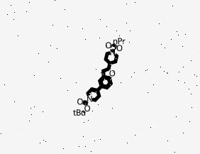 CCCS(=O)(=O)N1CCC(C2Cc3cc(C4=CCN(C(=O)OC(C)(C)C)CC4)ccc3O2)CC1